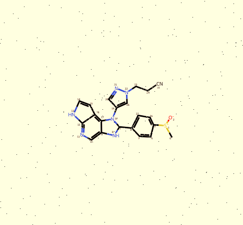 C[S+]([O-])c1ccc(C2Nc3cnc4[nH]ccc4c3N2c2cnn(CCC#N)c2)cc1